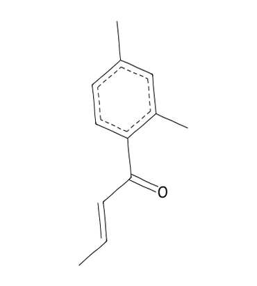 CC=CC(=O)c1ccc(C)cc1C